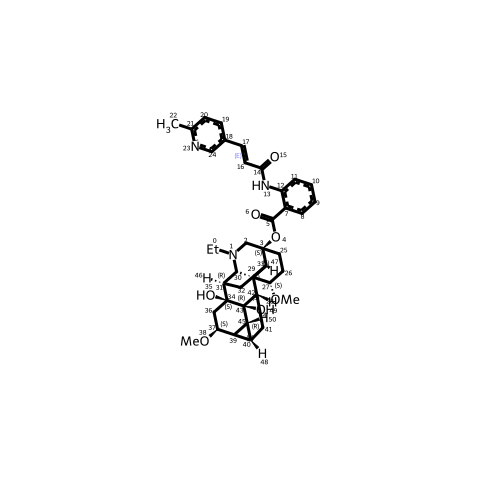 CCN1C[C@]2(OC(=O)c3ccccc3NC(=O)/C=C/c3ccc(C)nc3)CC[C@H](OC)[C@]34C1[C@@H](C[C@H]23)[C@@]1(O)C[C@H](OC)C2[C@H]3C[C@@H]4[C@]1(O)[C@@H]23